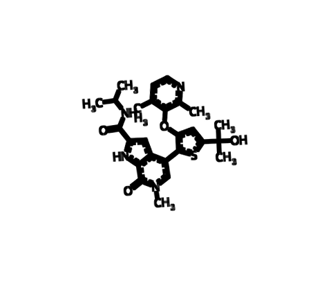 Cc1ccnc(C)c1Oc1cc(C(C)(C)O)sc1-c1cn(C)c(=O)c2[nH]c(C(=O)NC(C)C)cc12